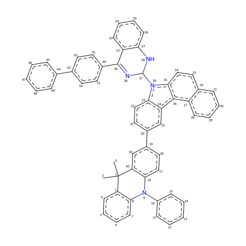 CC1(C)c2ccccc2N(c2ccccc2)c2ccc(-c3ccc4c(c3)c3c5ccccc5ccc3n4C3N=C(c4ccc(-c5ccccc5)cc4)c4ccccc4N3)cc21